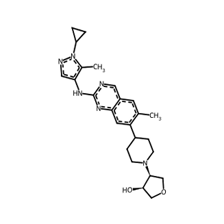 Cc1cc2cnc(Nc3cnn(C4CC4)c3C)nc2cc1C1CCN([C@H]2COC[C@H]2O)CC1